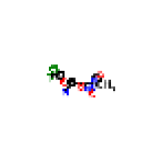 C[C@@]12COCCN1c1cc(OCc3ccc(Oc4ccc(Cl)c(C(F)(F)F)c4)c(C#N)c3)nc(=O)n1C2